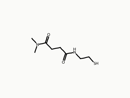 CN(C)C(=O)CCC(=O)NCCS